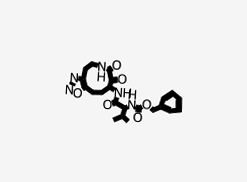 CC(C)C(NC(=O)OCc1ccccc1)C(=O)NC1CCc2onnc2CCNC(=O)C1=O